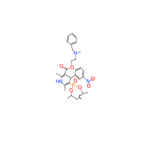 CC1=C(C(=O)OCCN(C)Cc2ccccc2)C(c2cccc([N+](=O)[O-])c2)C(P2(=O)OC(C)CCC(C)O2)=C(C)N1